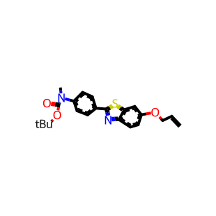 C=CCOc1ccc2nc(-c3ccc(N(C)C(=O)OC(C)(C)C)cc3)sc2c1